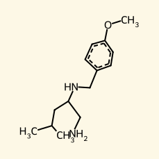 COc1ccc(CNC(CN)CC(C)C)cc1